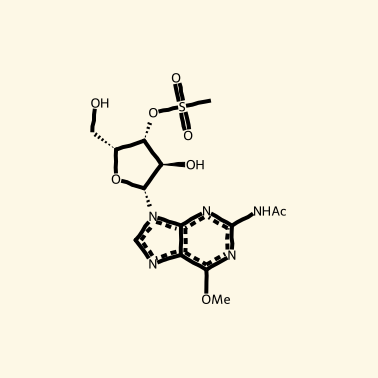 COc1nc(NC(C)=O)nc2c1ncn2[C@@H]1O[C@H](CO)[C@H](OS(C)(=O)=O)[C@H]1O